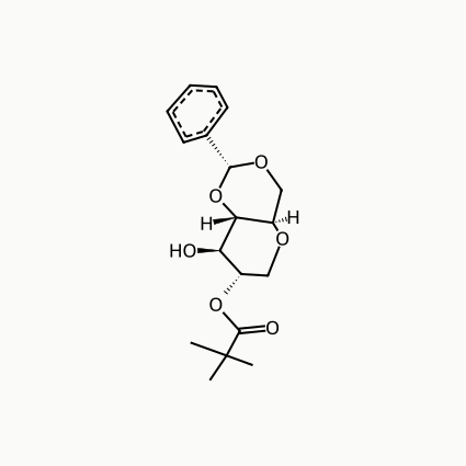 CC(C)(C)C(=O)O[C@H]1CO[C@@H]2CO[C@@H](c3ccccc3)O[C@H]2[C@@H]1O